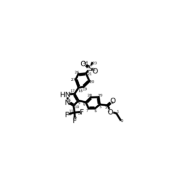 CCOC(=O)c1ccc(-c2c(C(F)(F)F)n[nH]c2-c2ccc(S(C)(=O)=O)cc2)cc1